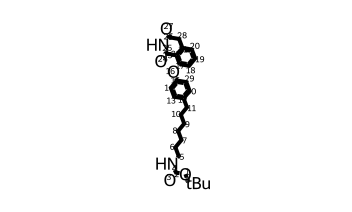 CC(C)(C)OC(=O)NCCCCCCCc1ccc(Oc2cccc3c2C(=O)NC(=O)C3)cc1